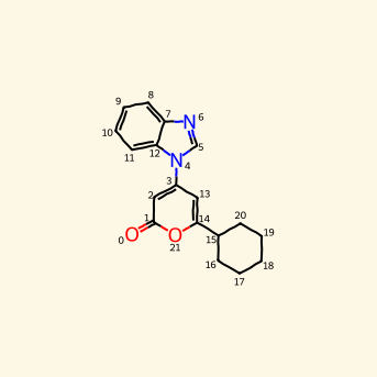 O=c1cc(-n2cnc3ccccc32)cc(C2CCCCC2)o1